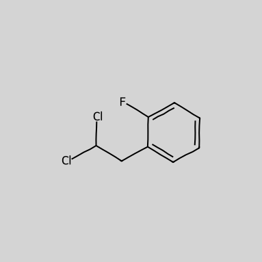 Fc1ccccc1CC(Cl)Cl